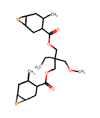 CCC(COC)(COC(=O)C1CC2SC2CC1C)COC(=O)C1CC2SC2CC1C